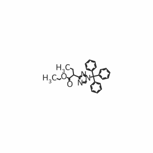 CCOC(=O)C(CC)c1ncn(C(c2ccccc2)(c2ccccc2)c2ccccc2)n1